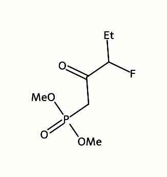 CCC(F)C(=O)CP(=O)(OC)OC